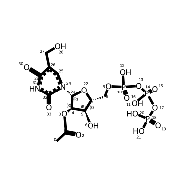 CC(=O)O[C@@H]1[C@H](O)[C@@H](COP(=O)(O)OP(=O)(O)OP(=O)(O)O)O[C@H]1n1cc(CO)c(=O)[nH]c1=O